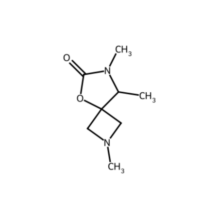 CC1N(C)C(=O)OC12CN(C)C2